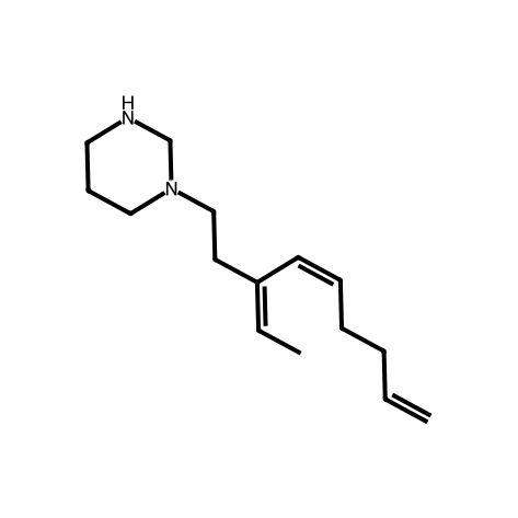 C=CCC/C=C\C(=C/C)CCN1CCCNC1